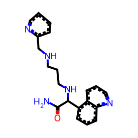 NC(=O)C(NCCCNCc1ccccn1)c1cccc2ncccc12